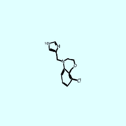 Clc1cccc2c1OCCN2Cc1c[nH]cn1